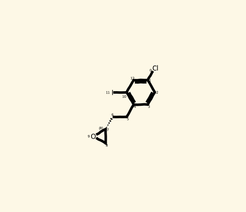 Clc1ccc(CC[C@@H]2CO2)c(I)c1